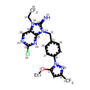 CCOc1cc(C(F)(F)F)nn1-c1ccc(Cn2c(=N)n(CC(F)(F)F)c3cnc(Cl)nc32)cc1